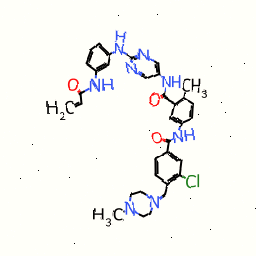 C=CC(=O)Nc1cccc(Nc2ncc(NC(=O)c3cc(NC(=O)c4ccc(CN5CCN(C)CC5)c(Cl)c4)ccc3C)cn2)c1